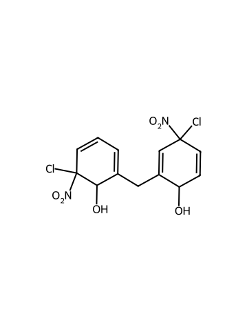 O=[N+]([O-])C1(Cl)C=CC(O)C(CC2=CC=CC(Cl)([N+](=O)[O-])C2O)=C1